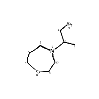 CC(C)CC(C)N1CCCOCC1